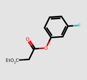 CCOC(=O)CC(=O)Oc1cccc(F)c1